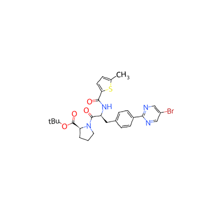 Cc1ccc(C(=O)N[C@@H](Cc2ccc(-c3ncc(Br)cn3)cc2)C(=O)N2CCC[C@H]2C(=O)OC(C)(C)C)s1